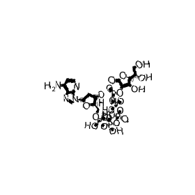 Nc1ccnc2c1ncn2[C@H]1C[C@@H](O)[C@@H](COP(=O)(O)OP(=O)(O)OP(=O)(O)OP(=O)(O)O[PH](=O)OC2=C(O)[C@@H]([C@@H](O)CO)OC2=O)O1